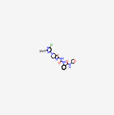 COc1nc(Cl)cc(N2CCc3nc(NC(=O)Nc4ccccc4C(=O)NC4CCOC4)sc3C2)n1